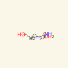 C=C1CC[C@](O)(ON)C/C1=C/C=C1\CCC[C@@]2(C)C1CC[C@@H]2[C@H](C)CCCC(C)(C)O